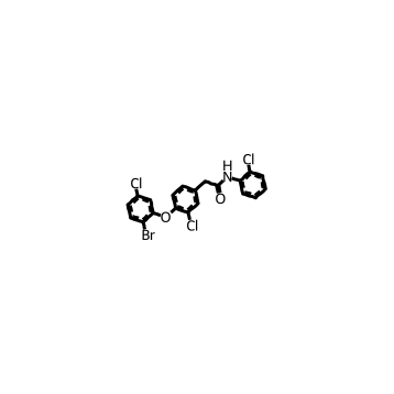 O=C(Cc1ccc(Oc2cc(Cl)ccc2Br)c(Cl)c1)Nc1ccccc1Cl